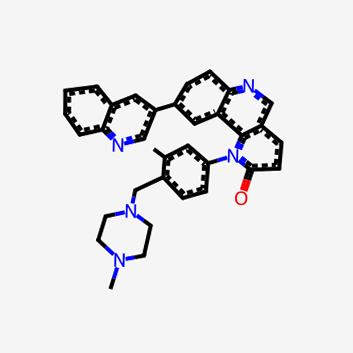 Cc1cc(-n2c(=O)ccc3cnc4ccc(-c5cnc6ccccc6c5)cc4c32)ccc1CN1CCN(C)CC1